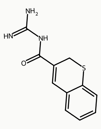 N=C(N)NC(=O)C1=Cc2ccccc2SC1